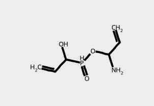 C=CC(N)O[PH](=O)C(O)C=C